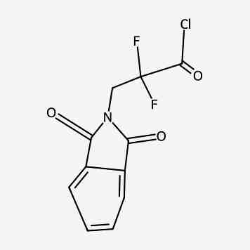 O=C1c2ccccc2C(=O)N1CC(F)(F)C(=O)Cl